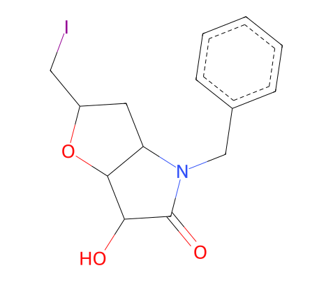 O=C1C(O)C2OC(CI)CC2N1Cc1ccccc1